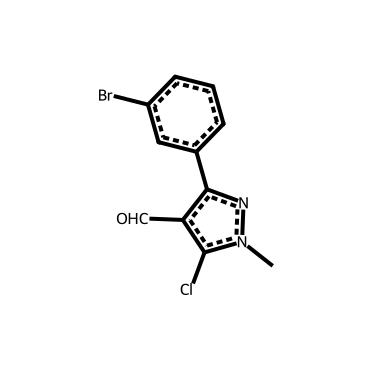 Cn1nc(-c2cccc(Br)c2)c(C=O)c1Cl